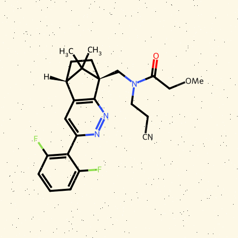 COCC(=O)N(CCC#N)C[C@@]12CC[C@@H](c3cc(-c4c(F)cccc4F)nnc31)C2(C)C